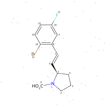 O=C(O)N1CCC[C@@H]1C=Cc1cc(F)ccc1Br